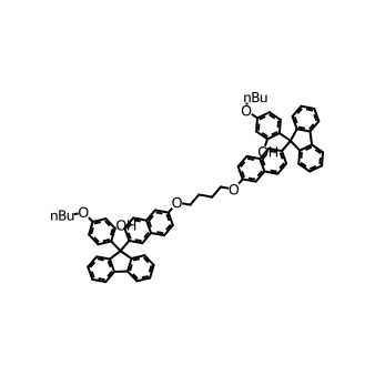 CCCCOc1ccc(C2(c3ccc4cc(OCCCCOc5ccc6cc(C7(c8ccc(OCCCC)cc8O)c8ccccc8-c8ccccc87)ccc6c5)ccc4c3)c3ccccc3-c3ccccc32)c(O)c1